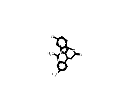 CC(=O)n1c2c(c3ccc(Cl)cc31)OC(=O)CC2c1ccc(C)cc1